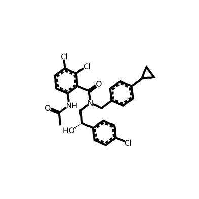 CC(=O)Nc1ccc(Cl)c(Cl)c1C(=O)N(Cc1ccc(C2CC2)cc1)C[C@@H](O)c1ccc(Cl)cc1